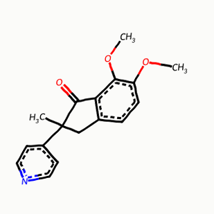 COc1ccc2c(c1OC)C(=O)C(C)(c1ccncc1)C2